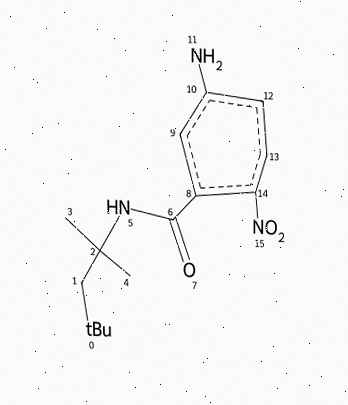 CC(C)(C)CC(C)(C)NC(=O)c1cc(N)ccc1[N+](=O)[O-]